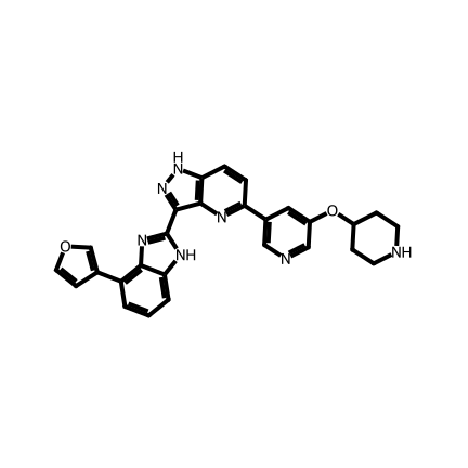 c1cc(-c2ccoc2)c2nc(-c3n[nH]c4ccc(-c5cncc(OC6CCNCC6)c5)nc34)[nH]c2c1